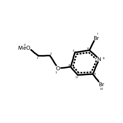 COCCOc1cc(Br)nc(Br)c1